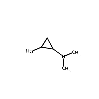 CN(C)C1CC1O